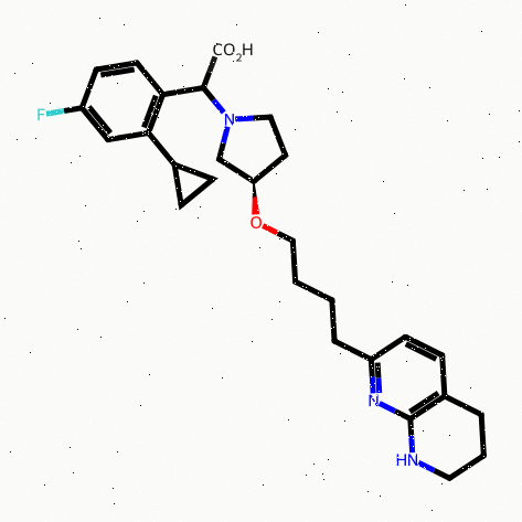 O=C(O)C(c1ccc(F)cc1C1CC1)N1CC[C@@H](OCCCCc2ccc3c(n2)NCCC3)C1